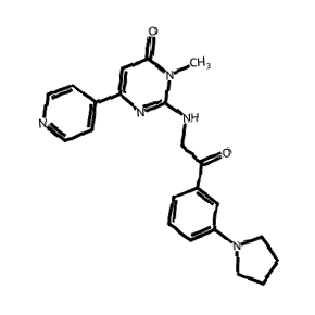 Cn1c(NCC(=O)c2cccc(N3CCCC3)c2)nc(-c2ccncc2)cc1=O